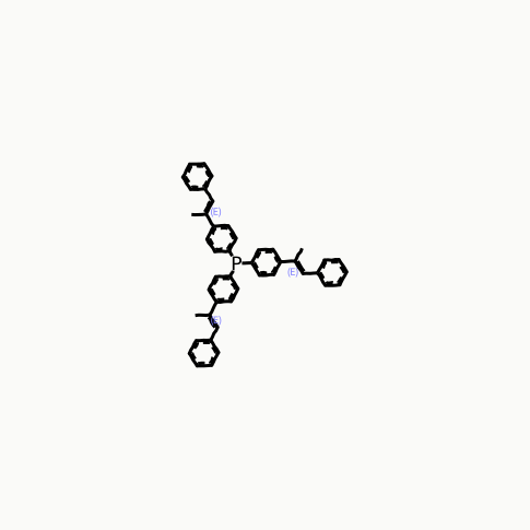 C/C(=C\c1ccccc1)c1ccc(P(c2ccc(/C(C)=C/c3ccccc3)cc2)c2ccc(/C(C)=C/c3ccccc3)cc2)cc1